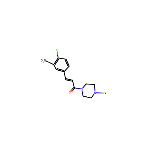 CCCN1CCN(C(=O)/C=C/c2ccc(Cl)c([N+](=O)[O-])c2)CC1